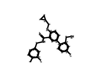 Cc1ccc(CNC(=O)c2cc(-c3ccc(F)cc3CO)ccc2OCC2CC2)cc1F